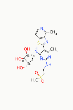 Cc1nc(NCCS(C)(=O)=O)nc(N[C@@H]2C[C@H](CO)[C@@H](O)[C@H]2O)c1-c1nc2c(C)nccc2s1